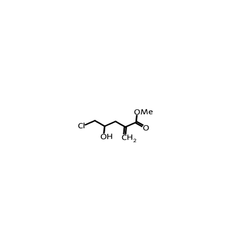 C=C(CC(O)CCl)C(=O)OC